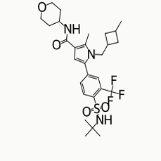 Cc1c(C(=O)NC2CCOCC2)cc(-c2ccc(S(=O)(=O)NC(C)(C)C)c(C(F)(F)F)c2)n1CC1CC(C)C1